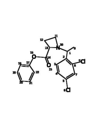 CC(c1ccc(Cl)cc1Cl)N1CCC1C(=O)Oc1ccccc1